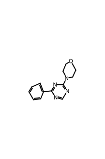 c1ccc(-c2ncnc(N3CCOCC3)n2)cc1